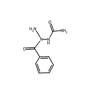 NC(=O)NN(N)C(=O)c1ccccc1